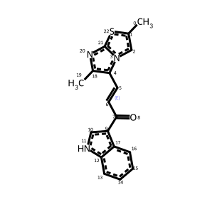 Cc1cn2c(/C=C/C(=O)c3c[nH]c4ccccc34)c(C)nc2s1